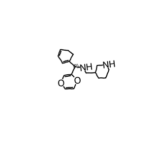 C1=CCCC([C@@H](NCC2CCCNC2)C2=COC=CO2)=C1